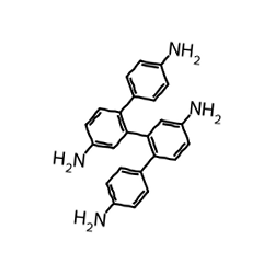 Nc1ccc(-c2ccc(N)cc2-c2cc(N)ccc2-c2ccc(N)cc2)cc1